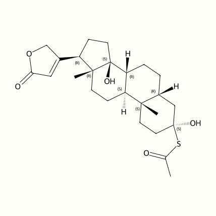 CC(=O)S[C@@]1(O)CC[C@@]2(C)[C@H](CC[C@@H]3[C@@H]2CC[C@]2(C)[C@@H](C4=CC(=O)OC4)CC[C@]32O)C1